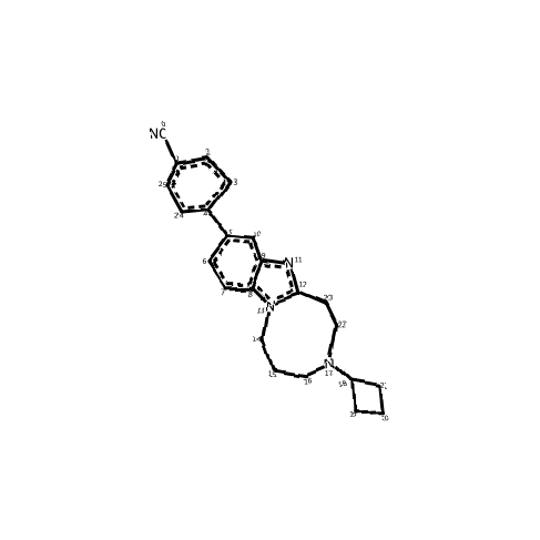 N#Cc1ccc(-c2ccc3c(c2)nc2n3CCCN(C3CCC3)CC2)cc1